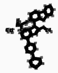 CCC1=Cc2c(-c3ccc(-c4ccccc4)cc3)cccc2C1c1[c]([Zr+2][SiH](C)C)ccc2c1Cc1ccccc1-2.[Cl-].[Cl-]